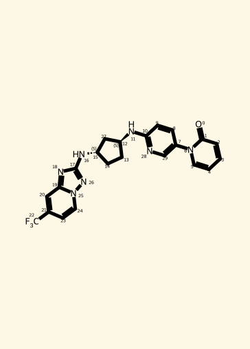 O=c1ccccn1-c1ccc(N[C@H]2CC[C@H](Nc3nc4cc(C(F)(F)F)ccn4n3)C2)nc1